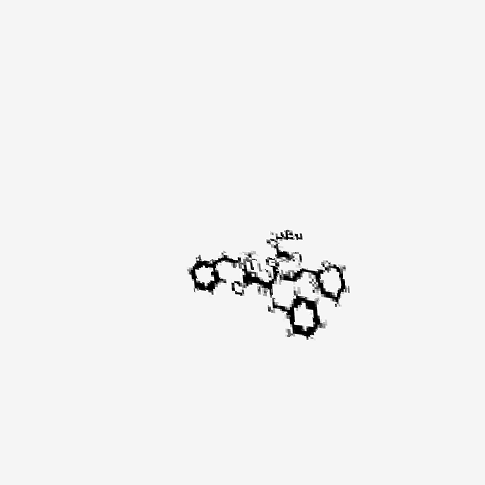 CN(Cc1ccccc1)C(=O)[C@H](Cc1ccccc1)N(CCC1CCCCO1)OC(=O)OC(C)(C)C